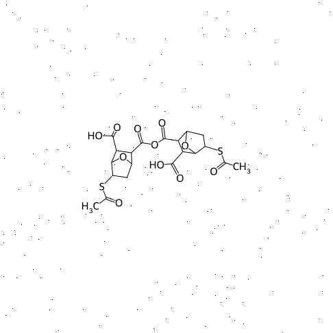 CC(=O)SC1CC2OC1C(C(=O)O)C2C(=O)OC(=O)C1C2CC(SC(C)=O)C(O2)C1C(=O)O